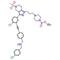 CC(C)(C)OC(=O)N1CCN(CCCn2nc(-c3ccc(Cl)c(C#Cc4ccc(CNCc5ccc(Cl)cc5)cc4)c3)c3c2CCN(S(C)(=O)=O)C3)CC1